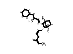 C/C=C(/O)C/C=C\C[C@@H]1[C@H](/C=C/C(O)CC2CCCCC2)[C@@H]2CC[C@H]1O2